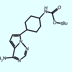 CC(C)(C)OC(=O)NC1CCC(c2ccc3c(N)ncnn23)CC1